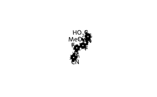 COCCn1c(Cc2ccc(-c3cc(F)cc(OCc4ccc(C#N)cc4F)c3)cc2F)nc2ccc(C(=O)O)cc21